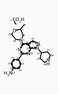 CC(=O)O.CC1CN(c2nc(-c3ccc(N)cc3)nc3c2cnn3C2CCNCC2)CCO1